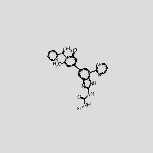 C=C(c1ccccn1)n1c(C)cc(-c2cc(-c3ncccn3)c3[nH]c(NC(=O)NCC)nc3c2)cc1=O